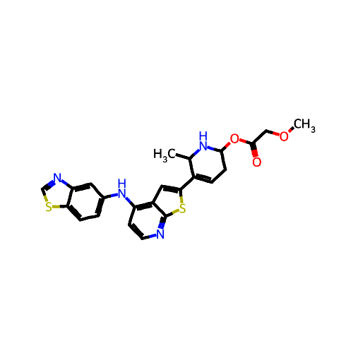 COCC(=O)OC1CC=C(c2cc3c(Nc4ccc5scnc5c4)ccnc3s2)C(C)N1